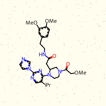 COCC(=O)N1CCN(c2nc(-n3ccnc3)ncc2C(C)C)C(CC(=O)NCCc2ccc(OC)c(OC)c2)C1